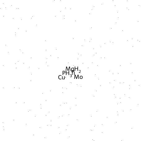 P.[Cu].[MgH2].[Mo].[Ti]